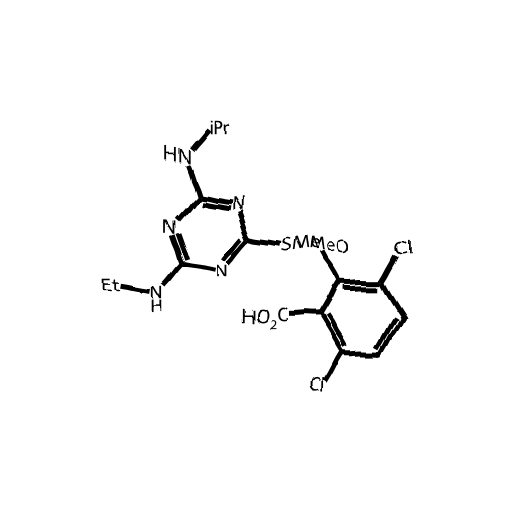 CCNc1nc(NC(C)C)nc(SC)n1.COc1c(Cl)ccc(Cl)c1C(=O)O